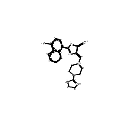 O=C1OC(c2ccc(F)c3ccccc23)=NC1=CN1CCN(C2=NCCN2)CC1